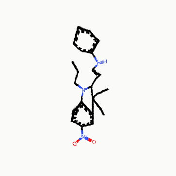 CCCN1c2ccc([N+](=O)[O-])cc2C(C)(C)C1C=CNc1ccccc1